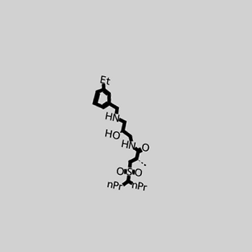 CCCC(CCC)S(=O)(=O)C[C@@H](C)C(=O)NC[C@H](O)CNCc1cccc(CC)c1